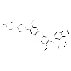 C=Cc1cnc(Nc2cc(CC)c(N3CCC(N4CCN(C)CC4)CC3)cc2OC)nc1Nc1ccc2nccnc2c1N(CC)S(C)(=O)=O